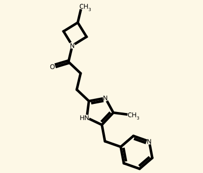 Cc1nc(CCC(=O)N2CC(C)C2)[nH]c1Cc1cccnc1